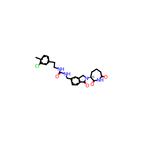 Cc1ccc(CCNC(=O)NCc2ccc3c(c2)CN([C@H]2CCCC(=O)NC2=O)C3=O)cc1Cl